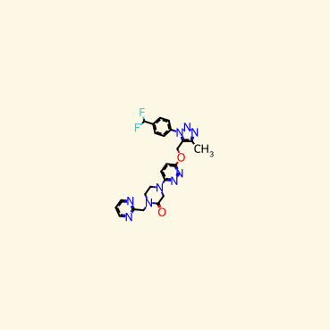 Cc1nnn(-c2ccc(C(F)F)cc2)c1COc1ccc(N2CCN(Cc3ncccn3)C(=O)C2)nn1